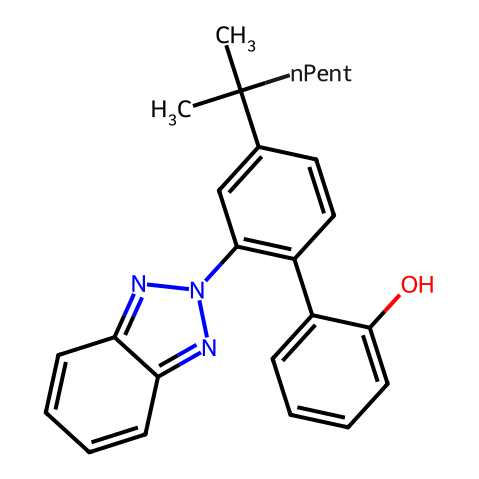 CCCCCC(C)(C)c1ccc(-c2ccccc2O)c(-n2nc3ccccc3n2)c1